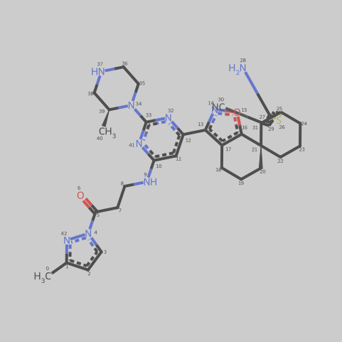 Cc1ccn(C(=O)CCNc2cc(-c3noc4c3CCC[C@@]43CCCc4sc(N)c(C#N)c43)nc(N3CCNC[C@@H]3C)n2)n1